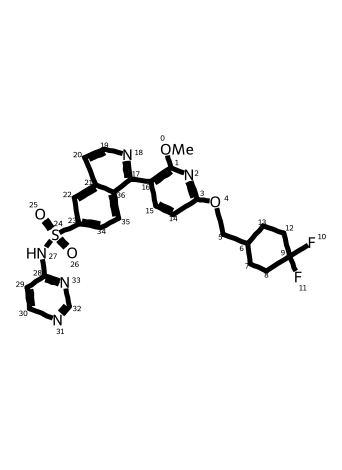 COc1nc(OCC2CCC(F)(F)CC2)ccc1-c1nccc2cc(S(=O)(=O)Nc3ccncn3)ccc12